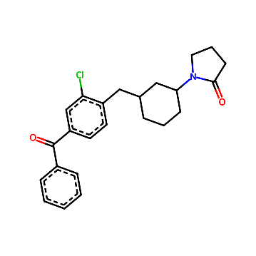 O=C(c1ccccc1)c1ccc(CC2CCCC(N3CCCC3=O)C2)c(Cl)c1